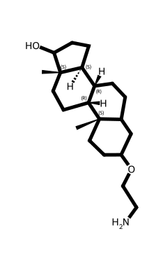 C[C@]12CCC(OCCN)CC1CC[C@@H]1[C@H]2CC[C@]2(C)C(O)CC[C@@H]12